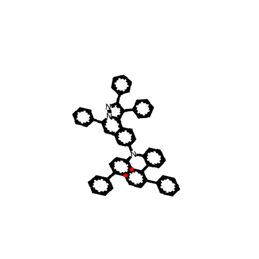 c1ccc(-c2ccc(N(c3ccc4c(c3)cc(-c3ccccc3)n3nc(-c5ccccc5)c(-c5ccccc5)c43)c3ccccc3-c3ccccc3-c3ccccc3)cc2)cc1